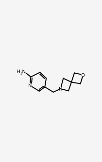 Nc1ccc(CN2CC3(COC3)C2)cn1